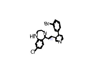 Clc1ccc2c(c1)NCCN=C2/C=C/c1cnccc1-c1cccc(Br)c1